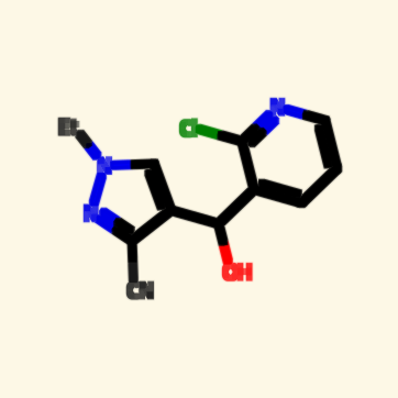 CCn1cc(C(O)c2cccnc2Cl)c(C#N)n1